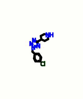 Clc1ccc(Cn2nnc(C3CCNCC3)n2)cc1